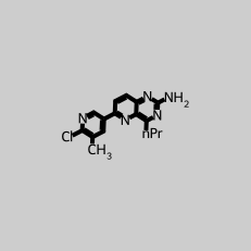 CCCc1nc(N)nc2ccc(-c3cnc(Cl)c(C)c3)nc12